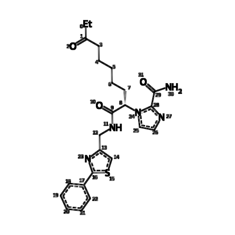 CCC(=O)CCCCC[C@@H](C(=O)NCc1csc(-c2ccccc2)n1)n1ccnc1C(N)=O